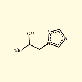 CCCCC(O)Cn1cncn1